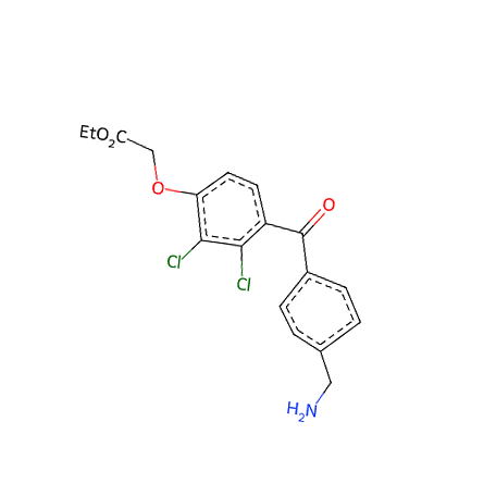 CCOC(=O)COc1ccc(C(=O)c2ccc(CN)cc2)c(Cl)c1Cl